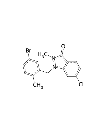 Cc1ccc(Br)cc1Cn1c2cc(Cl)ccc2c(=O)n1C